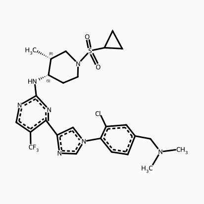 C[C@@H]1CN(S(=O)(=O)C2CC2)CC[C@@H]1Nc1ncc(C(F)(F)F)c(-c2cn(-c3ccc(CN(C)C)cc3Cl)cn2)n1